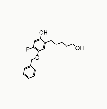 OCCCCCc1cc(OCc2ccccc2)c(F)cc1O